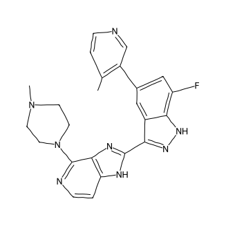 Cc1ccncc1-c1cc(F)c2[nH]nc(-c3nc4c(N5CCN(C)CC5)nccc4[nH]3)c2c1